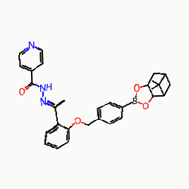 C/C(=N\NC(=O)c1ccncc1)c1ccccc1OCc1ccc(B2OC3CC4CC(C3O2)C4(C)C)cc1